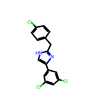 Clc1ccc(Cc2nc(-c3cc(Cl)cc(Cl)c3)c[nH]2)cc1